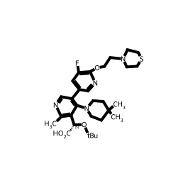 Cc1ncc(-c2cnc(OCCN3CCSCC3)c(F)c2)c(N2CCC(C)(C)CC2)c1[C@H](OC(C)(C)C)C(=O)O